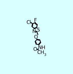 CC(=O)Nc1ccc(OCc2nc3cc(Cl)c(F)cc3s2)cc1